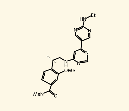 CCNc1ncc(-c2cc(NC[C@@H](C)c3ccc(C(=O)NC)cc3OC)ncn2)cn1